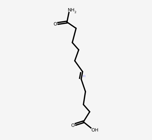 NC(=O)CCCC/C=C/CCCC(=O)O